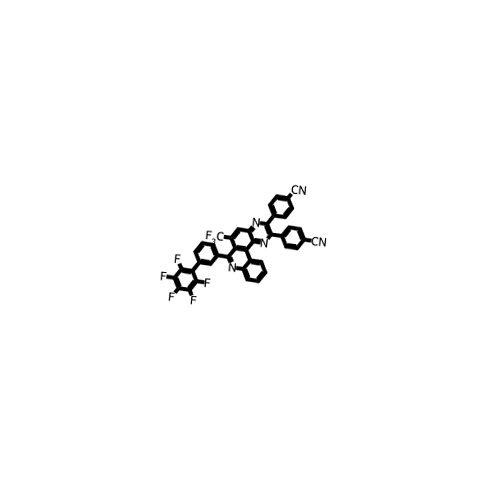 N#Cc1ccc(-c2nc3cc(C(F)(F)F)c4c(-c5cccc(-c6c(F)c(F)c(F)c(F)c6F)c5)nc5ccccc5c4c3nc2-c2ccc(C#N)cc2)cc1